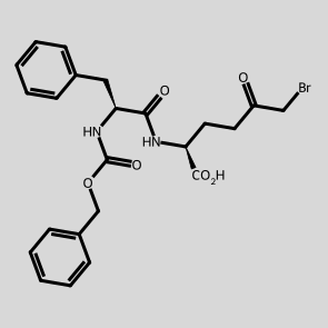 O=C(CBr)CC[C@H](NC(=O)[C@H](Cc1ccccc1)NC(=O)OCc1ccccc1)C(=O)O